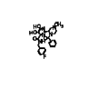 CN1CCN(C(=O)c2ccccc2)C(c2nc(O)c(O)c(C(=O)NCc3ccc(F)cc3)n2)C1